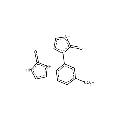 O=C(O)c1cccc(-n2cc[nH]c2=O)c1.O=c1[nH]cc[nH]1